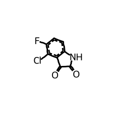 O=C1Nc2ccc(F)c(Cl)c2C1=O